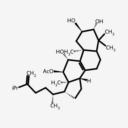 C=C(CC[C@@H](C)[C@H]1CC[C@H]2C3=C([C@@H](O)[C@H](OC(C)=O)[C@]12C)[C@@]1(C)C[C@@H](O)[C@H](O)C(C)(C)C1CC3)C(C)C